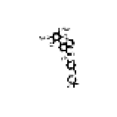 COc1cc(OC)c(Cl)c(-c2ccc(C(=O)Nc3ccc(CN4CCN(C)C(C)(C)C4)cn3)c3nccnc23)c1Cl